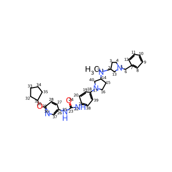 CN(C1CCN(Cc2ccccc2)C1)C1CCN(c2ccc(NC(=O)Nc3ccc(OC4CCCC4)nc3)cc2)C1